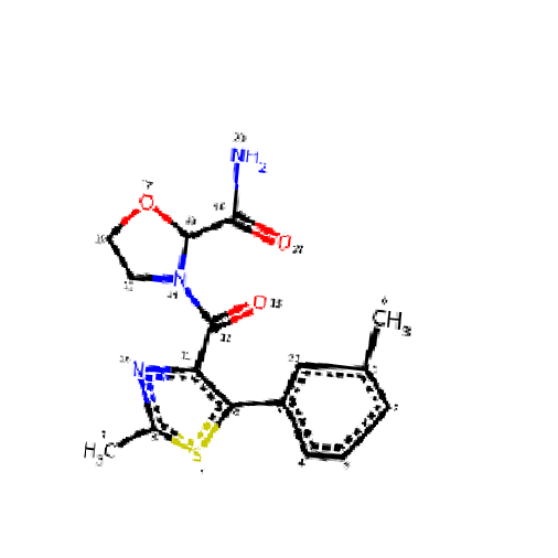 Cc1cccc(-c2sc(C)nc2C(=O)N2CCOC2C(N)=O)c1